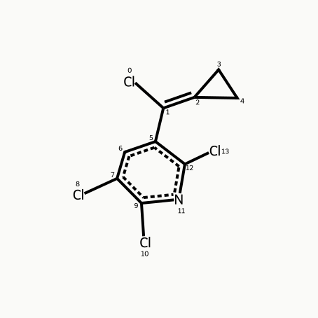 ClC(=C1CC1)c1cc(Cl)c(Cl)nc1Cl